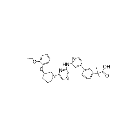 CCOc1ccccc1O[C@@H]1CCCN(c2cncc(Nc3cc(-c4cccc(C(C)(C)C(=O)O)c4)ccn3)n2)C1